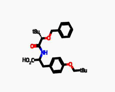 CC(C)(C)COc1ccc(CC(NC(=O)[C@@H](OCc2ccccc2)C(C)(C)C)C(=O)O)cc1